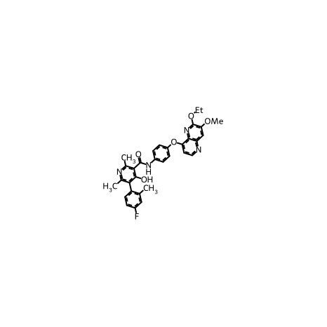 CCOc1nc2c(Oc3ccc(NC(=O)c4c(C)nc(C)c(-c5ccc(F)cc5C)c4O)cc3)ccnc2cc1OC